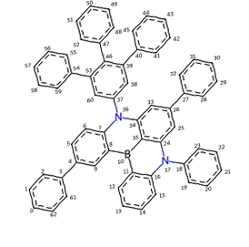 c1ccc(-c2ccc3c(c2)B2c4ccccc4N(c4ccccc4)c4cc(-c5ccccc5)cc(c42)N3c2cc(-c3ccccc3)c(-c3ccccc3)c(-c3ccccc3)c2)cc1